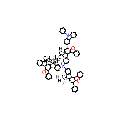 CC1(C)c2cc(N(c3ccc4c(c3)C(C)(C)c3cc(-c5ccc6c(c5)c5ccccc5n6-c5ccccc5)c5oc6ccccc6c5c3-4)c3ccc4c(c3)C(C)(C)c3c5c(c6oc7ccccc7c6c3-4)-c3ccccc3C5(C)C)ccc2-c2c1cc(-c1ccccc1)c1oc3ccccc3c21